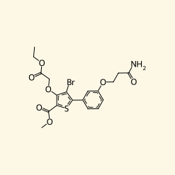 CCOC(=O)COc1c(C(=O)OC)sc(-c2cccc(OCCC(N)=O)c2)c1Br